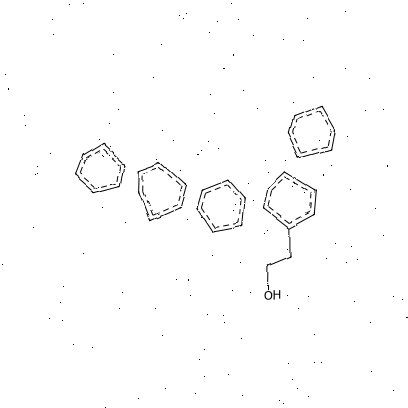 OCCc1ccccc1.c1ccccc1.c1ccccc1.c1ccccc1.c1ccccc1